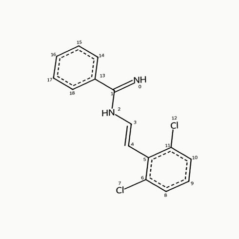 N=C(NC=Cc1c(Cl)cccc1Cl)c1ccccc1